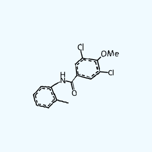 COc1c(Cl)cc(C(=O)Nc2ccccc2C)cc1Cl